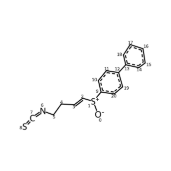 [O-][S+](C=CCCN=C=S)c1ccc(-c2ccccc2)cc1